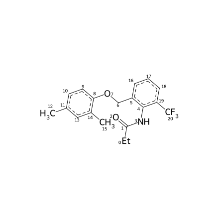 CCC(=O)Nc1c(COc2ccc(C)cc2C)cccc1C(F)(F)F